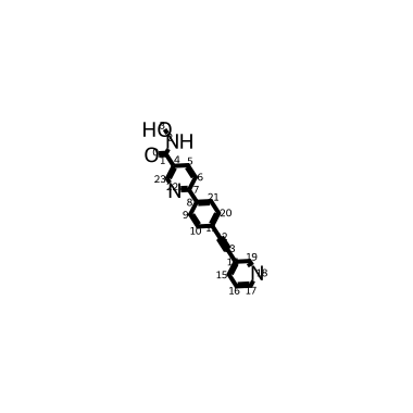 O=C(NO)c1ccc(-c2ccc(C#Cc3cccnc3)cc2)nc1